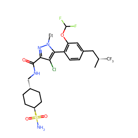 CCn1nc(C(=O)NC[C@H]2CC[C@H](S(N)(=O)=O)CC2)c(Cl)c1-c1ccc(C[C@@H](C)C(F)(F)F)cc1OC(F)F